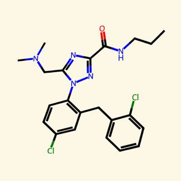 CCCNC(=O)c1nc(CN(C)C)n(-c2ccc(Cl)cc2Cc2ccccc2Cl)n1